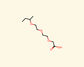 CCC(C)OCCOCCOCC(=O)O